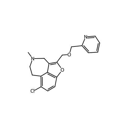 CN1CCc2c(Cl)ccc3oc(COCc4ccccn4)c(c23)C1